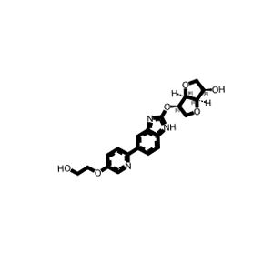 OCCOc1ccc(-c2ccc3[nH]c(O[C@@H]4CO[C@H]5[C@@H]4OC[C@H]5O)nc3c2)nc1